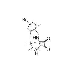 Cc1cc(Br)cc(C)c1CNc1c([AsH]C(C)C(C)(C)C)c(=O)c1=O